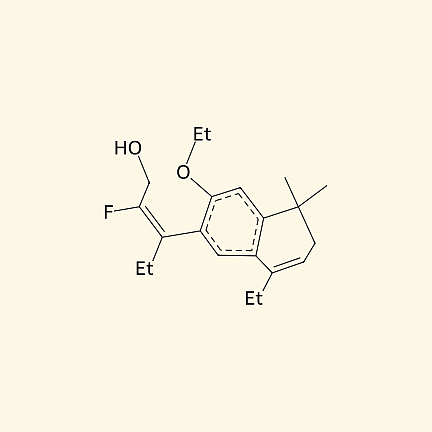 CCOc1cc2c(cc1/C(CC)=C(/F)CO)C(CC)=CCC2(C)C